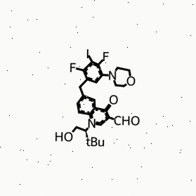 CC(C)(C)[C@@H](CO)n1cc(C=O)c(=O)c2cc(Cc3cc(N4CCOCC4)c(F)c(I)c3F)ccc21